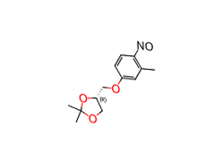 Cc1cc(OC[C@@H]2COC(C)(C)O2)ccc1N=O